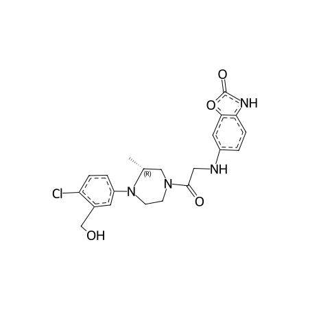 C[C@@H]1CN(C(=O)CNc2ccc3[nH]c(=O)oc3c2)CCN1c1ccc(Cl)c(CO)c1